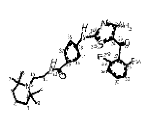 CC1(C)CCCC(C)(C)N1CCNC(=O)c1ccc(Nc2nc(N)c(C(=O)c3c(F)cccc3F)s2)cc1